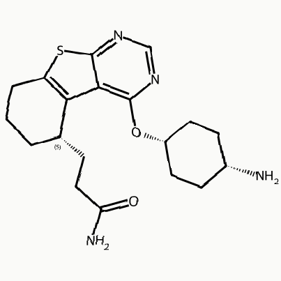 NC(=O)CC[C@@H]1CCCc2sc3ncnc(O[C@H]4CC[C@@H](N)CC4)c3c21